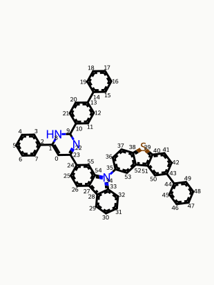 C1=C(c2ccccc2)NC(c2ccc(-c3ccccc3)cc2)N=C1c1ccc2c3ccccc3n(-c3ccc4sc5ccc(-c6ccccc6)cc5c4c3)c2c1